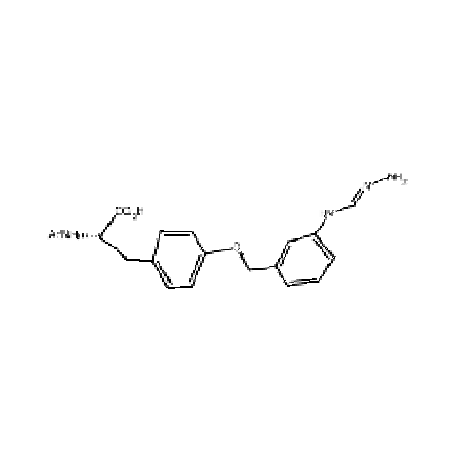 CC(=O)N[C@@H](Cc1ccc(OCc2cccc(NC=NN)c2)cc1)C(=O)O